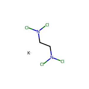 ClN(Cl)CCN(Cl)Cl.[K]